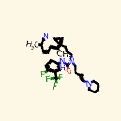 C/C(=C\C=C/C(C)C#N)C1(CCCN(CCCCN2CCCCC2)C(=O)Nc2ccc(F)c(C(F)(F)F)c2)CC1